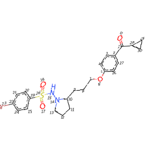 O=C(c1ccc(OCCCC2CCCN2NS(=O)(=O)c2ccc(Br)cc2)cc1)C1CC1